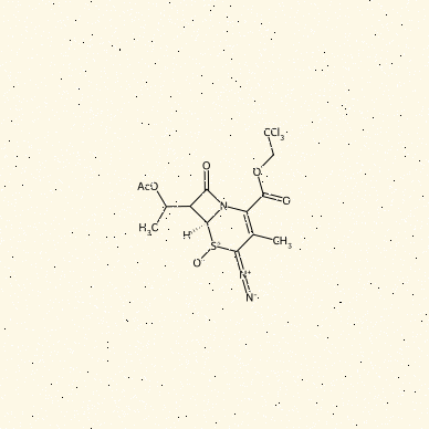 CC(=O)OC(C)C1C(=O)N2C(C(=O)OCC(Cl)(Cl)Cl)=C(C)C(=[N+]=[N-])[S+]([O-])[C@@H]12